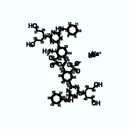 Nc1c(-c2nc(Nc3ccccc3)nc(N(CCO)CCO)n2)ccc(C=Cc2ccc(-c3nc(Nc4ccccc4)nc(N(CCO)CCO)n3)cc2S(=O)(=O)[O-])c1S(=O)(=O)[O-].[Na+].[Na+]